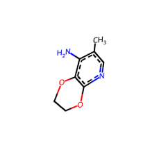 Cc1cnc2c(c1N)OCCO2